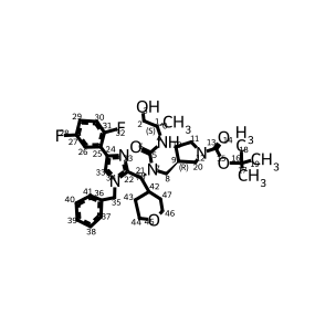 C[C@@H](CO)NC(=O)N(C[C@H]1CCN(C(=O)OC(C)(C)C)C1)[C@@H](c1nc(-c2cc(F)ccc2F)cn1Cc1ccccc1)C1CCOCC1